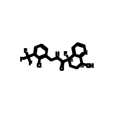 O=C(NCc1cccc(C(F)(F)F)c1Cl)[C@]1(F)CC[C@H](O)c2ncccc21